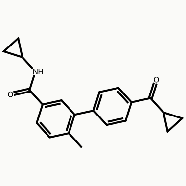 Cc1ccc(C(=O)NC2CC2)cc1-c1ccc(C(=O)C2CC2)cc1